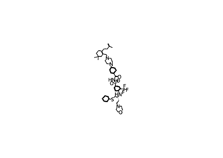 C=C(C)CCC1=C(CN2CCN(c3ccc(C(=O)NS(=O)(=O)c4ccc(N[C@H](CCN5CCOCC5)CSc5ccccc5)c(C(F)(F)F)c4)cc3)CC2)CC(C)(C)CC1